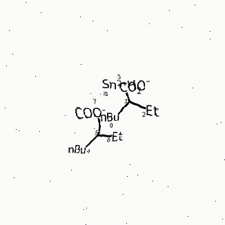 CCCCC(CC)C(=O)[O-].CCCCC(CC)C(=O)[O-].[SnH2+2]